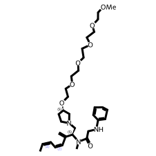 C=C(/C=C\C=C/C)[C@@H](CN1CC[C@H](OCCOCCOCCOCCOCCOC)C1)N(C)C(=O)CNc1ccccc1